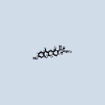 CNS(=O)(=O)Nc1nccc(Cc2c(C)c3ccc(O)cc3oc2=O)c1F